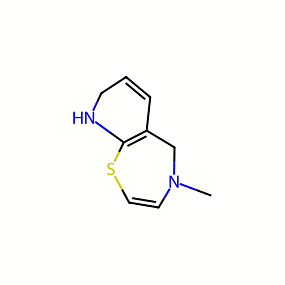 CN1C=CSC2=C(C=CCN2)C1